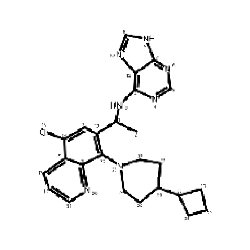 CC(Nc1ncnc2[nH]cnc12)c1cc(Cl)c2cccnc2c1N1CCC(C2CCC2)CC1